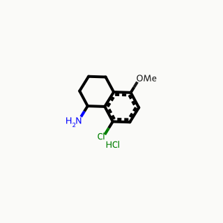 COc1ccc(Cl)c2c1CCCC2N.Cl